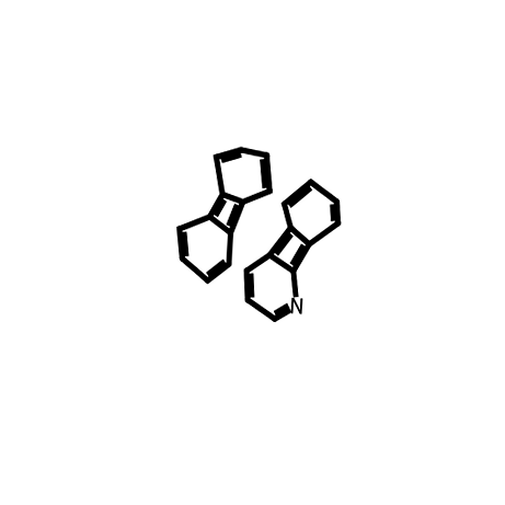 c1ccc2c(c1)=c1ccccc1=2.c1ccc2c(c1)=c1cccnc1=2